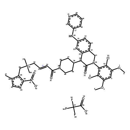 COc1cc(OC)c(Cl)c(N2Cc3cnc(Nc4cccnc4)nc3N(C3CCN(C(=O)/C=C/C[N+](C)(C)Cc4c([N+](=O)[O-])ncn4C)CC3)C2=O)c1Cl.O=C([O-])C(F)(F)F